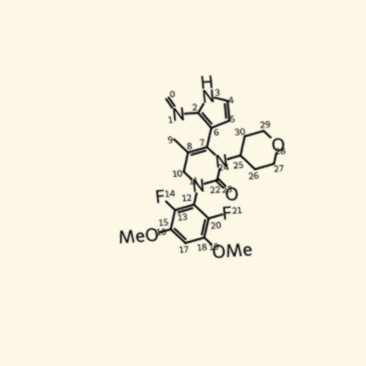 C=Nc1[nH]ccc1C1=C(C)CN(c2c(F)c(OC)cc(OC)c2F)C(=O)N1C1CCOCC1